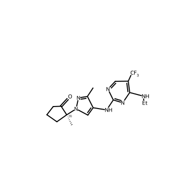 CCNc1nc(Nc2cn([C@@]3(C)CCCC3=O)nc2C)ncc1C(F)(F)F